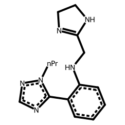 CCCn1ncnc1-c1ccccc1NCC1=NCCN1